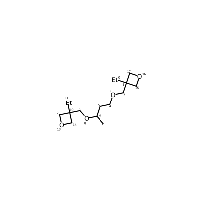 CCC1(COCCC(C)OCC2(CC)COC2)COC1